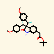 COc1ccc(C(F)C2(C(F)c3ccc(OC)cc3)C(=O)Nc3cc(CC(=O)OC(C)(C)C)ccc32)cc1